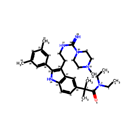 CCN(CC)C(=O)C(C)(C)c1ccc2[nH]c(-c3cc(C)cc(C)c3)c(CCNC(=N)N3CCN(C)CC3)c2c1